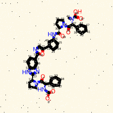 COC(=O)N[C@@H](C(=O)N1CCC[C@H]1c1nc2cc(-c3ncc(-c4cccc(NC(=O)[C@@H]5CCCN5C(=O)[C@@H](c5ccccc5)N(C)C(=O)O)c4)o3)ccc2[nH]1)c1ccccc1